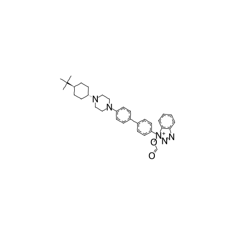 CC(C)(C)[C@H]1CC[C@H](N2CCN(c3ccc(-c4ccc([N+]5(OC=O)N=Nc6ccccc65)cc4)cc3)CC2)CC1